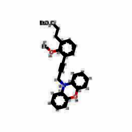 CCOC(=O)CCc1cccc(C#CCN2c3ccccc3Oc3ccccc32)c1OCC